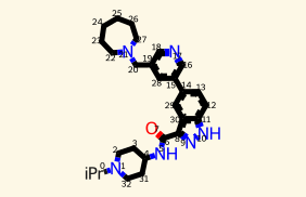 CC(C)N1CCC(NC(=O)c2n[nH]c3ccc(-c4cncc(CN5CCCCCC5)c4)cc23)CC1